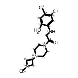 O=C(CNc1cc(Cl)c(Cl)cc1O)N1CCN(C2CN(Cl)C2)CC1